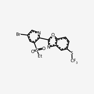 CCS(=O)(=O)c1cc(Br)cnc1-c1nc2cc(SC(F)(F)F)ccc2o1